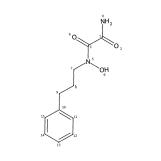 NC(=O)C(=O)N(O)C[CH]Cc1ccccc1